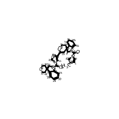 C[n+]1ccn(C(=O)N2CC3(CCOC(c4cn(C(=O)N5CC6(CCOCC6)c6ccccc65)cn4)C3)c3ccccc32)c1